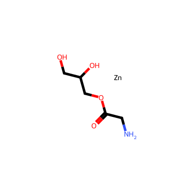 NCC(=O)OCC(O)CO.[Zn]